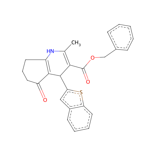 CC1=C(C(=O)OCc2ccccc2)C(c2cc3ccccc3s2)C2=C(CCCC2=O)N1